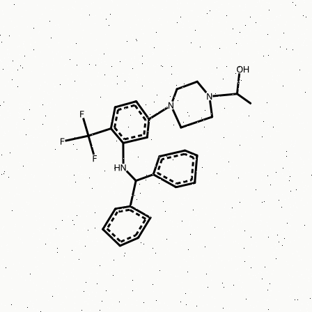 CC(O)N1CCN(c2ccc(C(F)(F)F)c(NC(c3ccccc3)c3ccccc3)c2)CC1